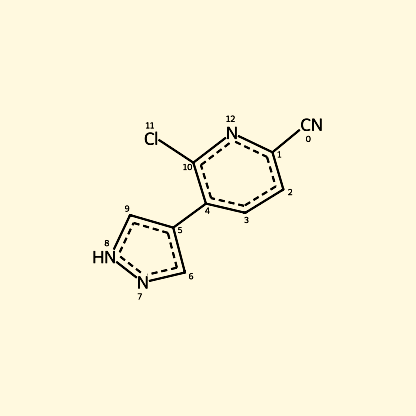 N#Cc1ccc(-c2cn[nH]c2)c(Cl)n1